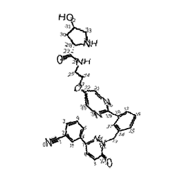 N#Cc1cccc(-c2ccc(=O)n(Cc3cccc(-c4ncc(OCCNC(=O)[C@@H]5C[C@@H](O)CN5)cn4)c3)n2)c1